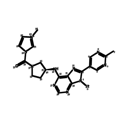 CCn1c(-c2cnc(C)nc2)nc2c(N[C@H]3CCN(C(=O)n4cc[n+](C)c4)C3)ncnc21